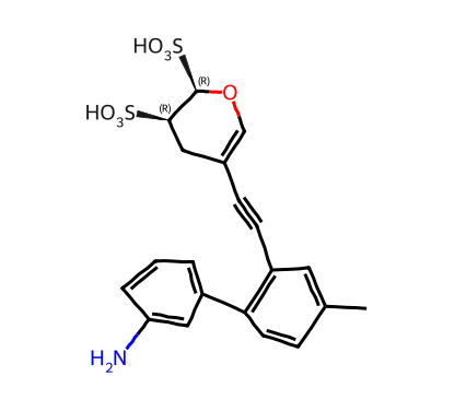 Cc1ccc(-c2cccc(N)c2)c(C#CC2=CO[C@H](S(=O)(=O)O)[C@H](S(=O)(=O)O)C2)c1